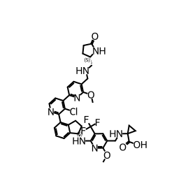 COc1nc(-c2ccnc(-c3cccc4c3CC[C@@H]4Nc3nc(OC)c(CNC4(C(=O)O)CC4)cc3C(F)(F)F)c2Cl)ccc1CNC[C@@H]1CCC(=O)N1